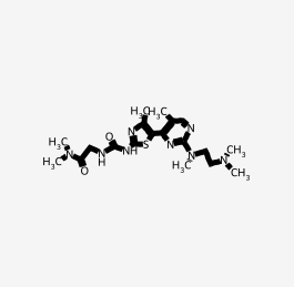 Cc1cnc(N(C)CCN(C)C)nc1-c1sc(NC(=O)NCC(=O)N(C)C)nc1C